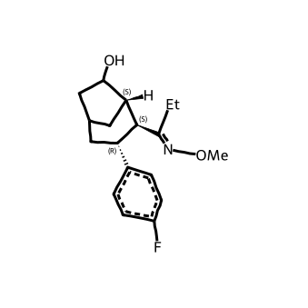 CCC(=NOC)[C@@H]1[C@@H]2CC(CC2O)C[C@H]1c1ccc(F)cc1